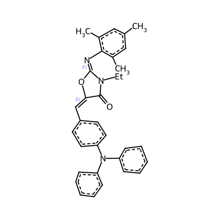 CCN1C(=O)/C(=C\c2ccc(N(c3ccccc3)c3ccccc3)cc2)O/C1=N/c1c(C)cc(C)cc1C